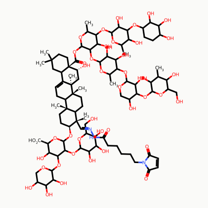 CC1OC(OC2C(C)OC(OC(=O)[C@]34CCC(C)(C)CC3C3=CCC5[C@@]6(C)CC[C@H](OC7OC(C(=O)O)C(O)C(OC8OCC(O)C(O)C8O)C7OC7OC(CO)C(O)C(O)C7O)[C@@](C)(/C=N/NC(=O)CCCCCN7C(=O)C=CC7=O)C6CC[C@@]5(C)[C@]3(C)C[C@H]4O)C(OC3OC(C)C(OC4OCC(O)C(OC5OC(CO)C(O)C(C)C5O)C4O)C(O)C3O)C2O)C(O)C(OC2CCC(O)C(O)C2O)C1O